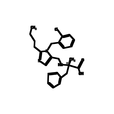 CCCCc1ncc(CN[C@@](C)(Cc2ccccc2)C(=O)O)n1Cc1ccccc1Cl